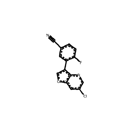 N#Cc1ccc(F)c(-c2coc3cc(Cl)cnc23)c1